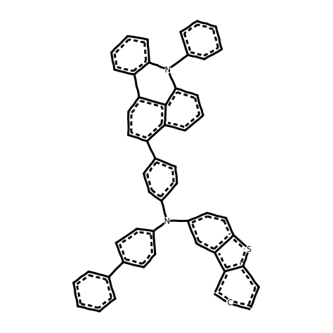 c1ccc(-c2ccc(N(c3ccc(-c4ccc5c6c(cccc46)N(c4ccccc4)c4ccccc4-5)cc3)c3ccc4sc5ccccc5c4c3)cc2)cc1